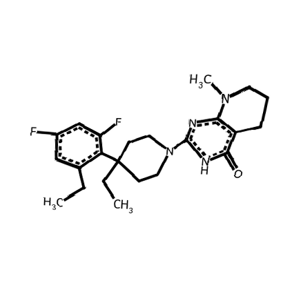 CCc1cc(F)cc(F)c1C1(CC)CCN(c2nc3c(c(=O)[nH]2)CCCN3C)CC1